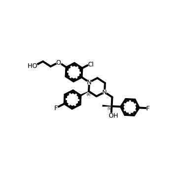 C[C@@](O)(CN1CCN(c2ccc(OCCO)cc2Cl)[C@H](c2ccc(F)cc2)C1)c1ccc(F)cc1